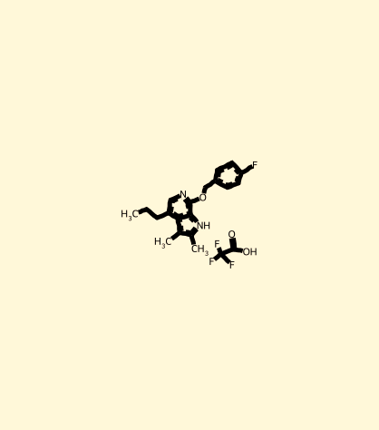 CCCc1cnc(OCc2ccc(F)cc2)c2[nH]c(C)c(C)c12.O=C(O)C(F)(F)F